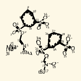 CC(C)(C)N=COS(=O)(=O)c1cccc(S(=O)(=O)[O-])c1.CC(C)(C)[N+]([O-])=COS(=O)(=O)c1cccc(S(=O)(=O)[O-])c1.[Na+].[Na+]